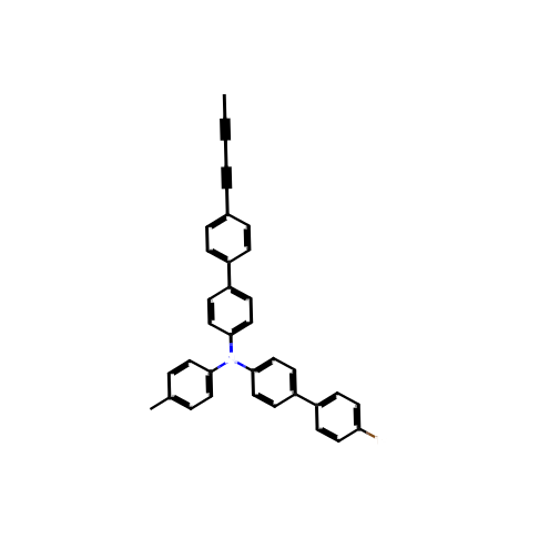 CC#CC#Cc1ccc(-c2ccc(N(c3ccc(C)cc3)c3ccc(-c4ccc(Br)cc4)cc3)cc2)cc1